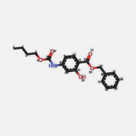 CCCCOC(=O)Nc1ccc(C(=O)OCc2ccccc2)c(O)c1